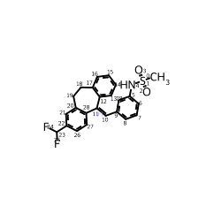 CS(=O)(=O)Nc1cccc(/C=C2\c3ccccc3CCc3cc(C(F)F)ccc32)c1